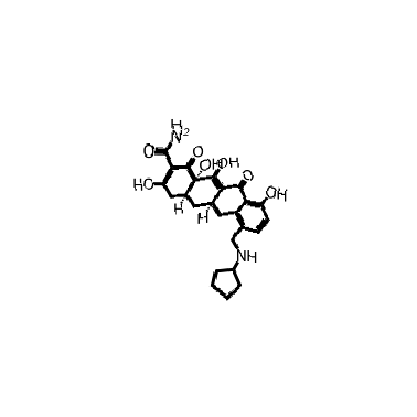 NC(=O)C1=C(O)C[C@@H]2C[C@@H]3Cc4c(CNC5CCCC5)ccc(O)c4C(=O)C3=C(O)[C@]2(O)C1=O